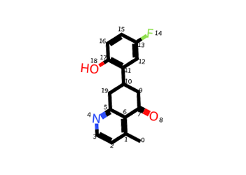 Cc1ccnc2c1C(=O)CC(c1cc(F)ccc1O)C2